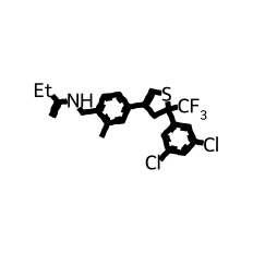 C=C(CC)NCc1ccc(C2=CSC(c3cc(Cl)cc(Cl)c3)(C(F)(F)F)C2)cc1C